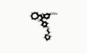 COc1ccc2c(C(=O)c3ccc(OCCN4CCCCC4)cc3)c(/C3=C/CCCCCC3)sc2c1